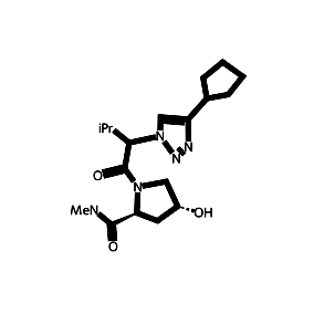 CNC(=O)[C@@H]1C[C@@H](O)CN1C(=O)C(C(C)C)n1cc(C2CCCC2)nn1